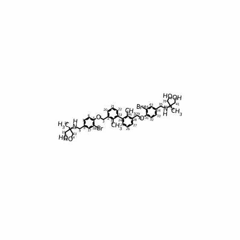 Cc1c(COc2ccc(CNC(C)(CO)CO)cc2Br)cccc1-c1cccc(COc2ccc(CNC(C)(CO)CO)cc2Br)c1C